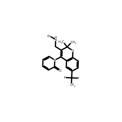 CCNCC1=C(n2ccccc2=O)c2cc(C(F)(F)C(F)(F)F)ccc2OC1(C)C